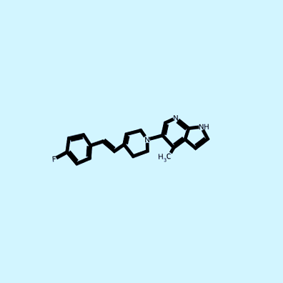 Cc1c(N2CC=C(C=Cc3ccc(F)cc3)CC2)cnc2[nH]ccc12